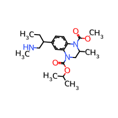 CCC(CNC)c1ccc2c(c1)N(C(=O)OC(C)C)CC(C)N2C(=O)OC